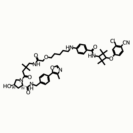 Cc1ncoc1-c1ccc(CNC(=O)[C@@H]2C[C@@H](O)CN2C(=O)CC(C)(C)CNC(=O)COCCCCCNc2ccc(C(=O)NC3C(C)(C)C(Oc4ccc(C#N)c(Cl)c4)C3(C)C)cc2)cc1